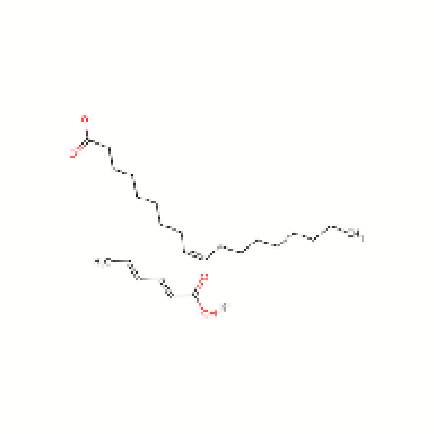 C/C=C/C=C/C(=O)O.CCCCCCCC/C=C\CCCCCCCC(=O)[O-].[K+]